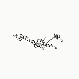 CC(=O)/C(C)=C/C=C/C=C/C=C/C=C/C(C)C(O)/C(C)=C/C(C)CCC/C=C/C(C)C/C=C/CCCN